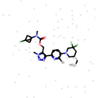 CCc1nc(-c2nnn(C)c2COC(=O)N(C)C23CC(F)(C2)C3)ccc1N1C[C@@H](CC(=O)O)CC(F)(F)C1